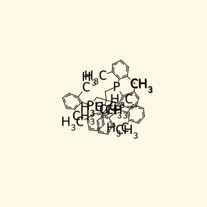 Cc1cccc(C)c1P(CC(C)(CP(c1c(C)cccc1C)c1c(C)cccc1C)CP(c1c(C)cccc1C)c1c(C)cccc1C)c1c(C)cccc1C